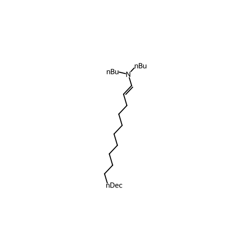 CCCCCCCCCCCCCCCCCCC=CN(CCCC)CCCC